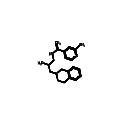 C=C(NCC(C)CN1CCc2ccccc2C1)c1ccnc(C)c1